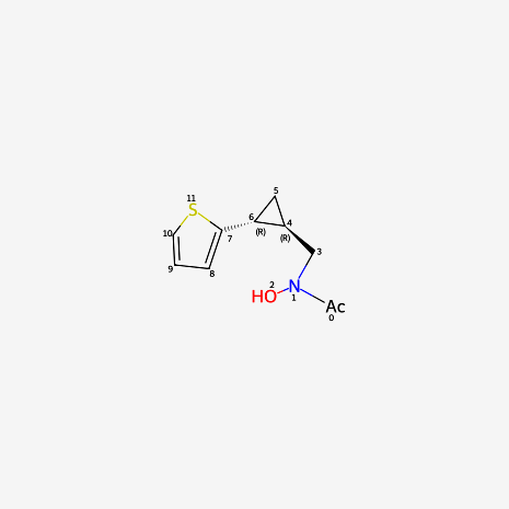 CC(=O)N(O)C[C@@H]1C[C@H]1c1cccs1